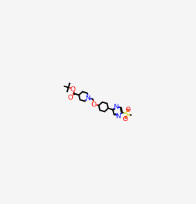 CC(C)(C)OC(=O)C1CCN(COC2CCC(c3cnc(S(C)(=O)=O)cn3)CC2)CC1